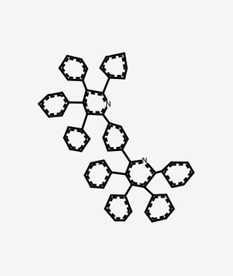 c1ccc(-c2nc(-c3ccc(-c4nc(-c5ccccc5)c(-c5ccccc5)c(-c5ccccc5)c4-c4ccccc4)cc3)c(-c3ccccc3)c(-c3ccccc3)c2-c2ccccc2)cc1